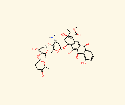 CC[C@@]1(O)C[C@H](O[C@H]2C[C@@H](N(C)C)[C@H](O[C@H]3C[C@@H](O)[C@H](O[C@H]4CCC(=O)C(C)O4)C(C)O3)C(C)O2)c2c(cc3c(c2O)C(=O)c2c(O)cccc2C3=O)[C@H]1C(=O)OC